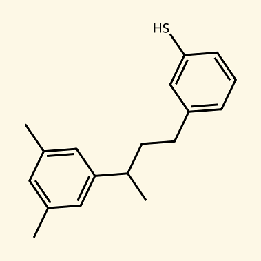 Cc1cc(C)cc(C(C)CCc2cccc(S)c2)c1